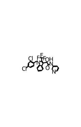 O=C(Nc1cccnc1)C(=O)c1c(C(F)(F)F)n(Cc2ccc(Cl)cc2Cl)c2ccccc12